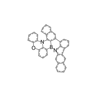 c1ccc2c(c1)Oc1cccc3c1N2c1c2c(cc4ccccc14)-c1cccc4c5cc6ccccc6cc5n(c14)B32